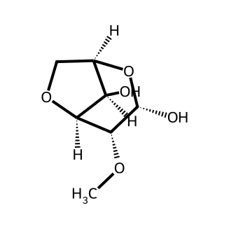 CO[C@@H]1[C@H]2OC[C@@H](O[C@@H]1O)[C@H]2O